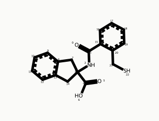 O=C(NC1(C(=O)O)Cc2ccccc2C1)c1ccccc1CS